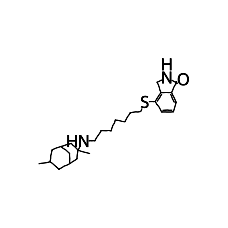 CC1CC2CC(C1)CC(C)(NCCCCCCCSc1cccc3c1CNC3=O)C2